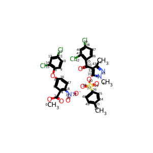 COC(=O)c1cc(Oc2ccc(Cl)cc2Cl)ccc1[N+](=O)[O-].Cc1ccc(S(=O)(=O)Oc2c(C(=O)c3ccc(Cl)cc3Cl)c(C)nn2C)cc1